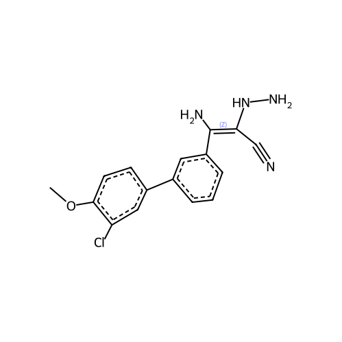 COc1ccc(-c2cccc(/C(N)=C(\C#N)NN)c2)cc1Cl